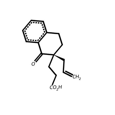 C=CC[C@]1(CCC(=O)O)CCc2ccccc2C1=O